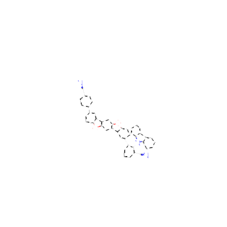 N#Cc1ccc(-c2ccc3oc4cc5c(cc4c3c2)oc2ccc(-c3cccc(C#N)c3-n3c4ccccc4c4ccccc43)cc25)cc1